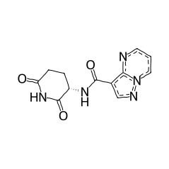 O=C1CC[C@H](NC(=O)c2cnn3cccnc23)C(=O)N1